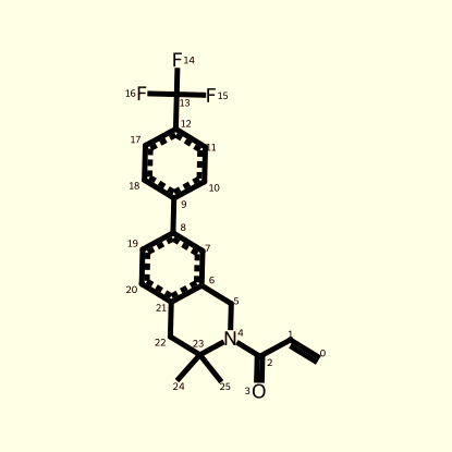 C=CC(=O)N1Cc2cc(-c3ccc(C(F)(F)F)cc3)ccc2CC1(C)C